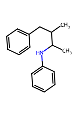 CC(Cc1ccccc1)C(C)Nc1ccccc1